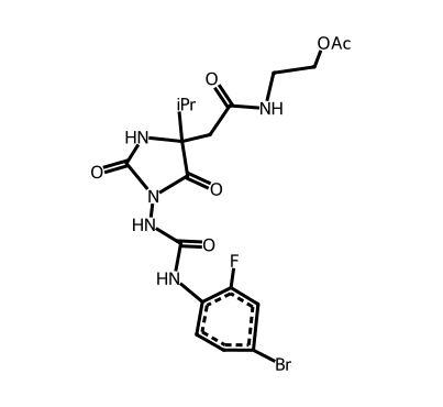 CC(=O)OCCNC(=O)CC1(C(C)C)NC(=O)N(NC(=O)Nc2ccc(Br)cc2F)C1=O